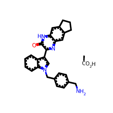 CC(=O)O.NCc1ccc(Cn2cc(-c3nc4cc5c(cc4[nH]c3=O)CCC5)c3ccccc32)cc1